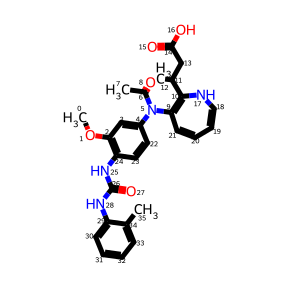 COc1cc(N(C(C)=O)C2=C(C(C)CC(=O)O)NC=CC=C2)ccc1NC(=O)Nc1ccccc1C